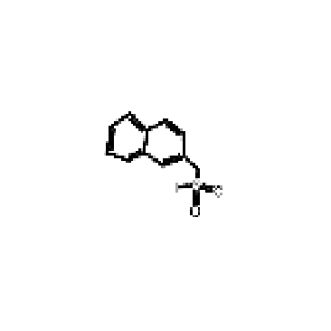 O=S(=O)(I)Cc1ccc2ccccc2c1